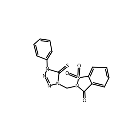 O=C1c2ccccc2S(=O)(=O)N1Cn1nnn(-c2ccccc2)c1=S